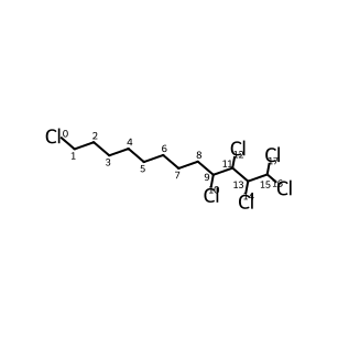 ClCCCCCCCCC(Cl)C(Cl)C(Cl)C(Cl)Cl